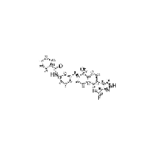 O=C(Nc1cccc(Cn2ccc3cc(-c4c[nH]nc4C(F)F)ccc3c2=O)c1)c1ccccc1